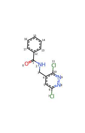 O=C(NCc1cc(Cl)nnc1Cl)c1ccccc1